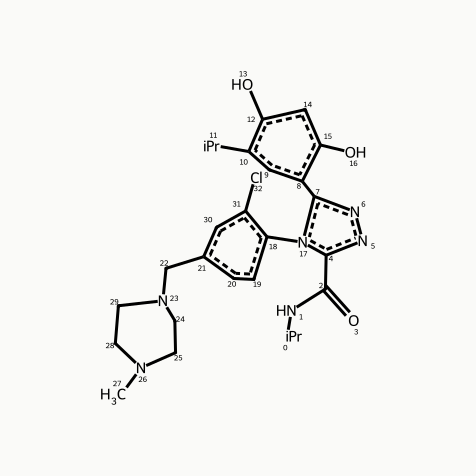 CC(C)NC(=O)c1nnc(-c2cc(C(C)C)c(O)cc2O)n1-c1ccc(CN2CCN(C)CC2)cc1Cl